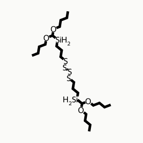 CCCCOC(OCCCC)[SiH2]CCCSSSSCCC[SiH2]C(OCCCC)OCCCC